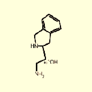 NC[C@@H](O)C1Cc2ccccc2CN1